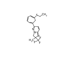 CCSC1=CC=CC=C(C2=NN3CC(C)(C(F)(F)F)N=C3C=C2)C1